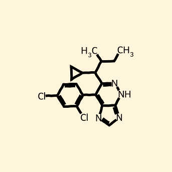 CCC(C)C(c1n[nH]c2ncnc-2c1-c1ccc(Cl)cc1Cl)C1CC1